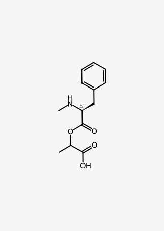 CN[C@@H](Cc1ccccc1)C(=O)OC(C)C(=O)O